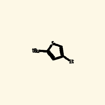 CCc1csc(C(C)(C)C)c1